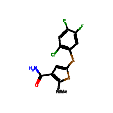 CNc1sc(Sc2cc(F)c(F)cc2Cl)cc1C(N)=O